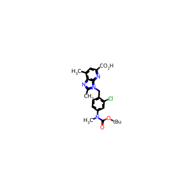 Cc1cc(C(=O)O)nc2c1nc(C)n2Cc1ccc(N(C)C(=O)OC(C)(C)C)cc1Cl